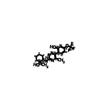 Cc1nc(N[C@@H]2CCCC[C@@]2(C)O)nnc1-c1ccc(OC(F)(F)F)cc1O